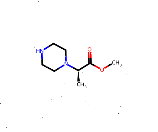 COC(=O)[C@@H](C)N1CCNCC1